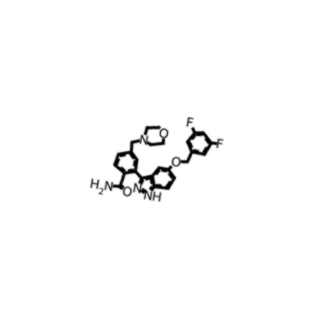 NC(=O)c1ccc(CN2CCOCC2)cc1-c1n[nH]c2ccc(OCc3cc(F)cc(F)c3)cc12